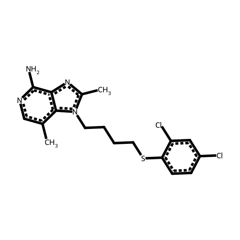 Cc1cnc(N)c2nc(C)n(CCCCSc3ccc(Cl)cc3Cl)c12